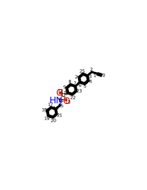 C#CCc1ccc(-c2ccc(S(=O)(=O)NCc3ccccc3)cc2)cc1